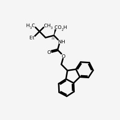 CCC(C)(C)C[C@H](NC(=O)OCC1c2ccccc2-c2ccccc21)C(=O)O